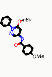 CCCCOc1cc(=NC(=O)c2ccc(OC)cc2)cnn1-c1ccccc1